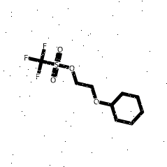 O=S(=O)(OCCOC1CCCCC1)C(F)(F)F